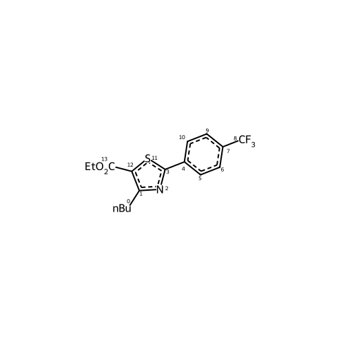 CCCCc1nc(-c2ccc(C(F)(F)F)cc2)sc1C(=O)OCC